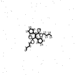 CCCCOC(=O)C(=C(C(=O)OCCCC)C1CCCC1)C1CCCC1